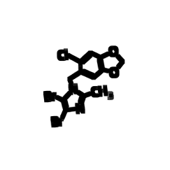 Cc1nc(Br)c(Br)n1Cc1cc2c(cc1Cl)OCO2